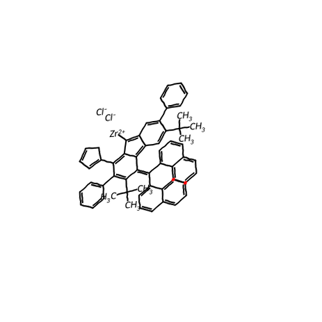 CC(C)(C)c1cc2c(cc1-c1ccccc1)=[C]([Zr+2])c1c(C3=CC=CC3)c(-c3ccccc3)c(C(C)(C)C)c(=C(c3cccc4ccccc34)c3cccc4ccccc34)c1=2.[Cl-].[Cl-]